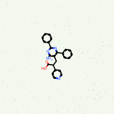 Nc1nc(-c2ccccc2)nc(-c2ccccc2)c1CC(C(=O)O)c1ccncc1